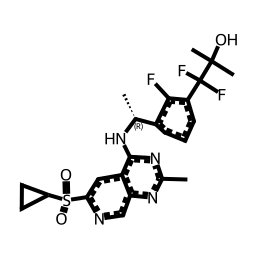 Cc1nc(N[C@H](C)c2cccc(C(F)(F)C(C)(C)O)c2F)c2cc(S(=O)(=O)C3CC3)ncc2n1